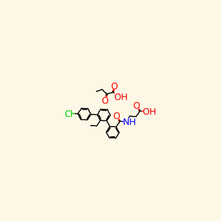 CCC(=O)C(=O)O.CCc1c(-c2ccc(Cl)cc2)cccc1-c1ccccc1C(=O)NCCC(=O)O